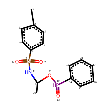 Cc1ccc(S(=O)(=O)NC(C)O[PH](=O)c2ccccc2)cc1